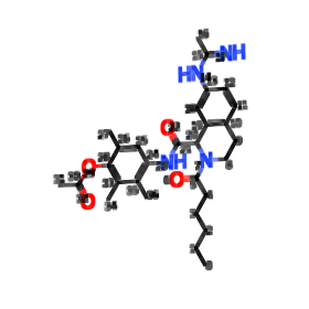 CCCCCC(=O)N1CCc2ccc(NC(C)=N)cc2C1C(=O)Nc1cc(C)c(OC(C)=O)c(C)c1C